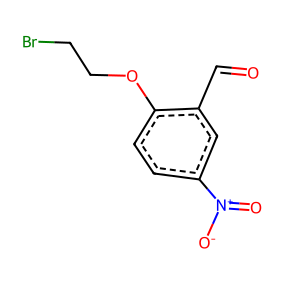 O=Cc1cc([N+](=O)[O-])ccc1OCCBr